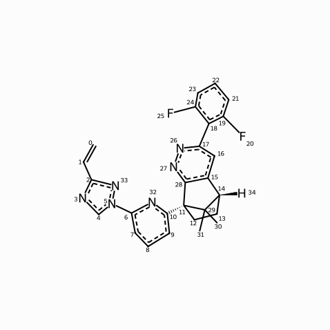 C=Cc1ncn(-c2cccc([C@]34CC[C@@H](c5cc(-c6c(F)cccc6F)nnc53)C4(C)C)n2)n1